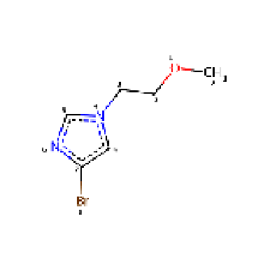 COCCn1cnc(Br)c1